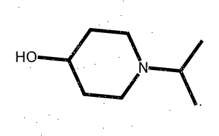 [CH2]C(C)N1CCC(O)CC1